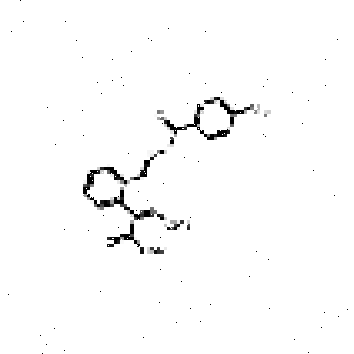 CON=C(C(=O)OC)c1ccccc1C=NOC(=O)c1ccc(C(F)(F)F)cc1